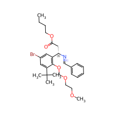 CCCCOC(=O)C[C@H](/N=C/c1ccccc1)c1cc(Br)cc(C(C)(C)C)c1OCOCCOC